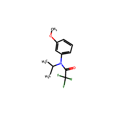 COc1cccc(N(C(=O)C(F)(F)F)C(C)C)c1